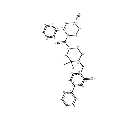 CC1(C)CN(C(=O)N2CC[C@@H](N)C[C@H]2c2ccccc2)CC[C@H]1Cn1ccc(-c2ccccc2)cc1=O